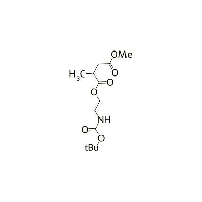 COC(=O)C[C@H](C)C(=O)OCCNC(=O)OC(C)(C)C